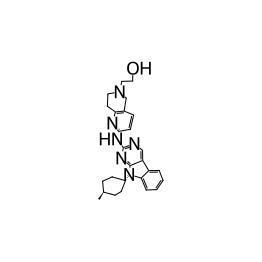 C[C@H]1CC[C@H](n2c3ccccc3c3cnc(Nc4ccc5c(n4)CCN(CCO)C5)nc32)CC1